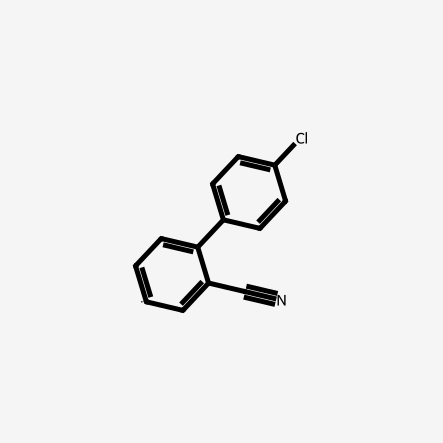 N#Cc1c[c]ccc1-c1ccc(Cl)cc1